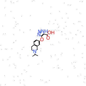 CC(C)N1CCc2ccc(Oc3nn[nH]c3C(=O)O)cc2C1